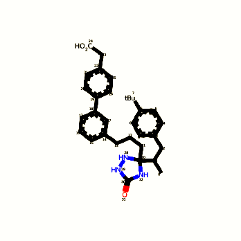 CC(Cc1ccc(C(C)(C)C)cc1)C1(CCCc2cccc(-c3ccc(CC(=O)O)cc3)c2)NNC(=O)N1